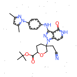 Cc1cc(C)n(-c2ccc(Nc3nn(C4(CC#N)CCC(C(=O)OC(C)(C)C)OC4)c4cc[nH]c(=O)c34)cc2)n1